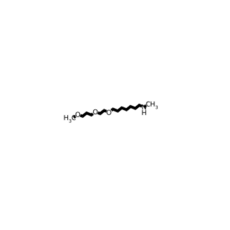 CNCCCCCCCOCCOCCCOC